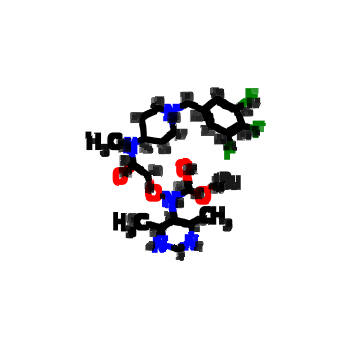 Cc1ncnc(C)c1N(OCC(=O)N(C)C1CCN(Cc2cc(F)c(F)c(F)c2)CC1)C(=O)OC(C)(C)C